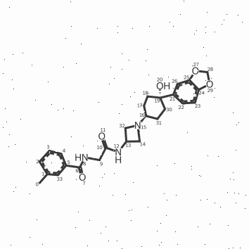 Cc1cccc(C(=O)NCC(=O)NC2CN([C@H]3CC[C@@](O)(c4ccc5c(c4)OCO5)CC3)C2)c1